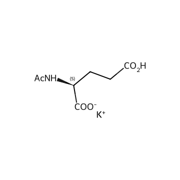 CC(=O)N[C@@H](CCC(=O)O)C(=O)[O-].[K+]